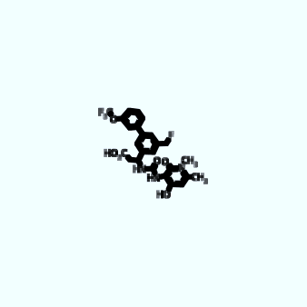 Cc1cc(O)c(NC(=O)NC(CC(=O)O)c2cc(CF)cc(-c3cccc(OC(F)(F)F)c3)c2)c(=O)n1C